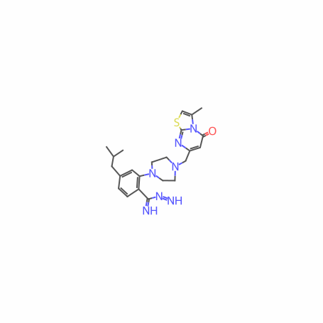 Cc1csc2nc(CN3CCN(c4cc(CC(C)C)ccc4C(=N)N=N)CC3)cc(=O)n12